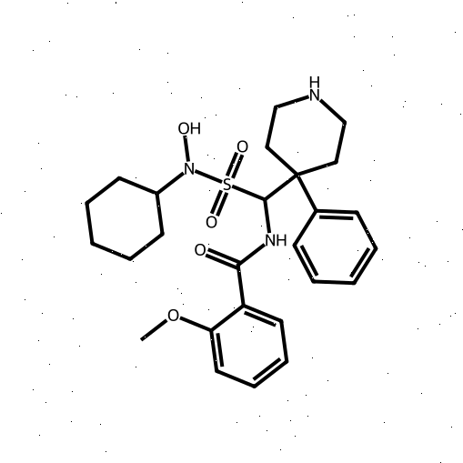 COc1ccccc1C(=O)NC(C1(c2ccccc2)CCNCC1)S(=O)(=O)N(O)C1CCCCC1